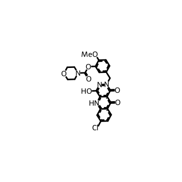 COc1ccc(Cn2nc(O)c3[nH]c4cc(Cl)ccc4c(=O)c3c2=O)cc1OC(=O)N1CCOCC1